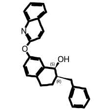 O[C@@H]1c2cc(Oc3ccc4ccccc4n3)ccc2CC[C@@H]1Cc1ccccc1